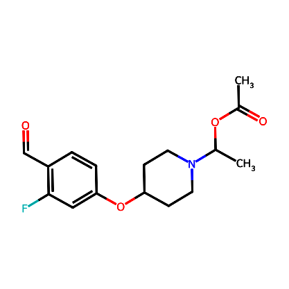 CC(=O)OC(C)N1CCC(Oc2ccc(C=O)c(F)c2)CC1